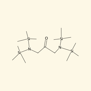 C[Si](C)(C)N(CC(=O)CN([Si](C)(C)C)[Si](C)(C)C)[Si](C)(C)C